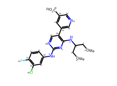 COCC(COC)Nc1nc(Nc2ccc(F)c(Cl)c2)ncc1-c1cncc(C(=O)O)c1